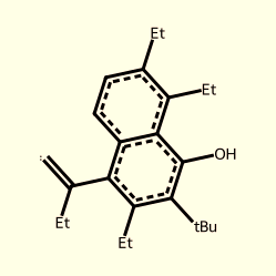 [C]=C(CC)c1c(CC)c(C(C)(C)C)c(O)c2c(CC)c(CC)ccc12